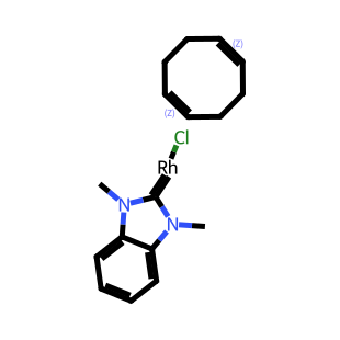 C1=C\CC/C=C\CC/1.Cn1[c](=[Rh][Cl])n(C)c2ccccc21